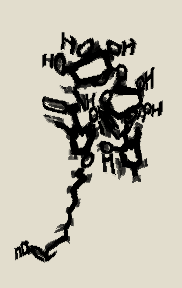 CCCCCCCCCCCCCCCCCCOc1cc(C)c(C(=O)NC[C@H]2O[C@H](O[C@H]3O[C@H](CNC(=O)c4c(C)cc(C)cc4O)[C@@H](O)[C@H](O)[C@H]3O)[C@H](O)[C@@H](O)[C@@H]2O)c(O)c1